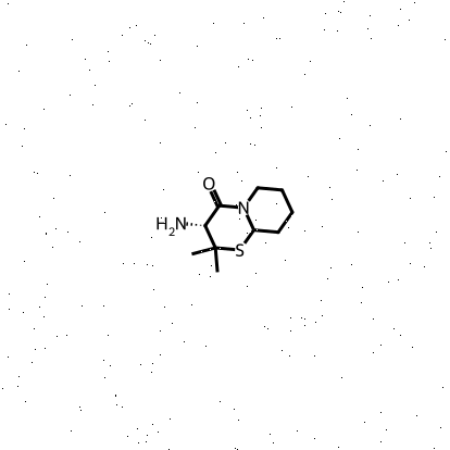 CC1(C)SC2CCCCN2C(=O)[C@H]1N